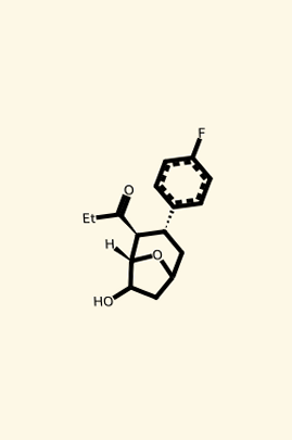 CCC(=O)[C@@H]1[C@@H]2OC(CC2O)C[C@H]1c1ccc(F)cc1